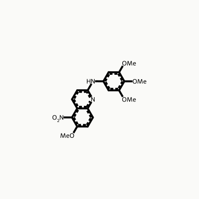 COc1cc(Nc2ccc3c([N+](=O)[O-])c(OC)ccc3n2)cc(OC)c1OC